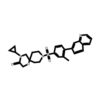 Cc1cc(S(=O)(=O)N2CCC3(CC2)CN(C2CC2)C(=O)CO3)ccc1-c1ccc2cccnc2c1